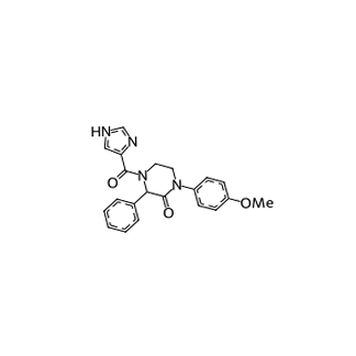 COc1ccc(N2CCN(C(=O)c3c[nH]cn3)C(c3ccccc3)C2=O)cc1